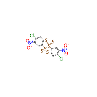 O=[N+]([O-])c1cc(S(=S)(=S)S(=S)(=S)c2ccc(Cl)c([N+](=O)[O-])c2)ccc1Cl